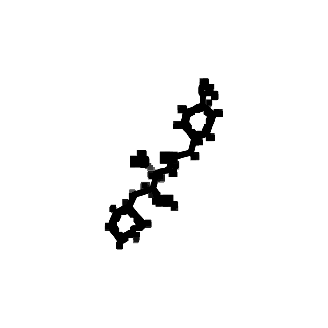 N[C@@H](Cc1ccccc1)[C@H](O)CNCc1ccc(C(F)(F)F)cc1